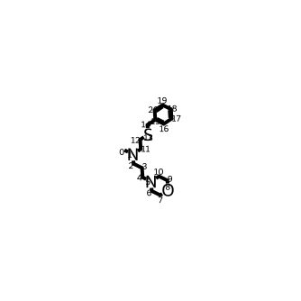 CN(CCCN1CCOCC1)CCSCc1ccccc1